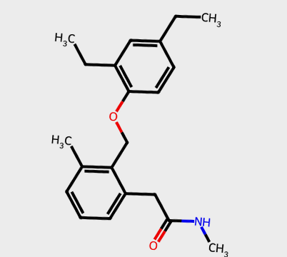 CCc1ccc(OCc2c(C)cccc2CC(=O)NC)c(CC)c1